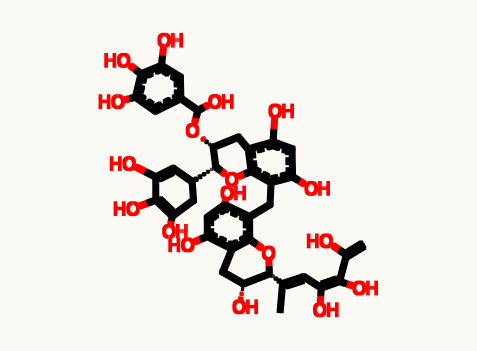 C=C(O)/C(O)=C(O)\C=C(/C)[C@H]1Oc2c(Cc3c(O)cc(O)c4c3O[C@H](C3C=C(O)C(O)=C(O)C3)[C@H](OC(O)c3cc(O)c(O)c(O)c3)C4)c(O)cc(O)c2C[C@H]1O